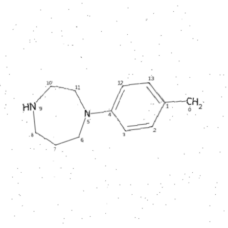 [CH2]c1ccc(N2CCCNCC2)cc1